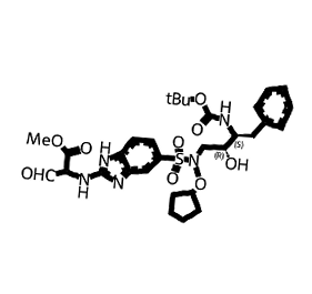 COC(=O)C(C=O)Nc1nc2cc(S(=O)(=O)N(C[C@@H](O)[C@H](Cc3ccccc3)NC(=O)OC(C)(C)C)OC3CCCC3)ccc2[nH]1